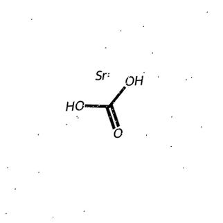 O=C(O)O.[Sr]